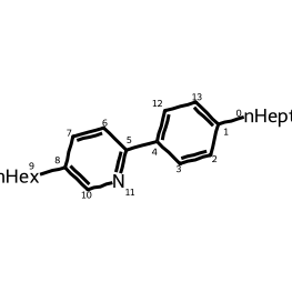 CCCCCCCc1ccc(-c2ccc(CCCCCC)cn2)cc1